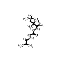 C=C(NNC(=O)NNC(=O)C(C)C)C(C)(C)CC(C)(C)O